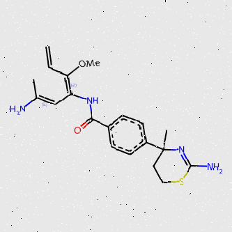 C=C/C(OC)=C(\C=C(/C)N)NC(=O)c1ccc(C2(C)CCSC(N)=N2)cc1